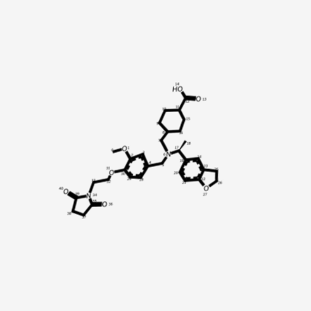 COc1cc(CN(CC2CCC(C(=O)O)CC2)[C@@H](C)c2ccc3c(c2)CCO3)ccc1OCCN1C(=O)CCC1=O